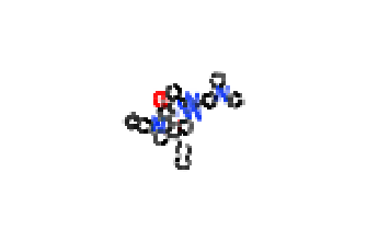 c1ccc(-c2nc(-c3ccc4c(c3)c3ccccc3n4-c3ccccc3)nc(-c3cccc4oc5cc(-n6c7ccccc7c7cc8ccccc8cc76)c(-c6ccc(-c7ccc8ccccc8c7)cc6)cc5c34)n2)cc1